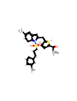 COC(=O)c1ccc(Cc2cc3cc(C(F)(F)F)ccc3n2S(=O)(=O)CC=Cc2cccc(C(C)(C)C)c2)s1